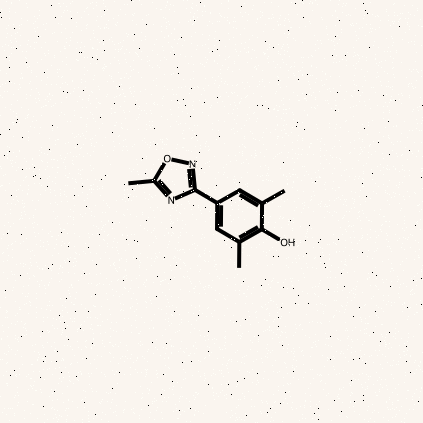 Cc1nc(-c2cc(C)c(O)c(C)c2)no1